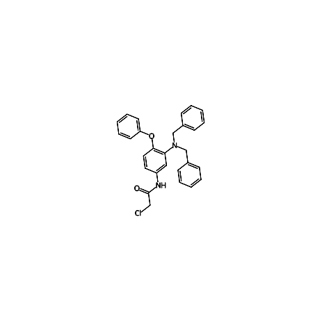 O=C(CCl)Nc1ccc(Oc2ccccc2)c(N(Cc2ccccc2)Cc2ccccc2)c1